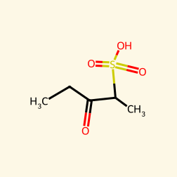 CCC(=O)C(C)S(=O)(=O)O